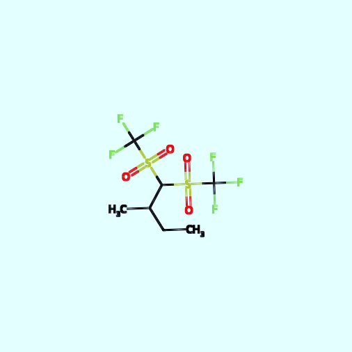 CCC(C)C(S(=O)(=O)C(F)(F)F)S(=O)(=O)C(F)(F)F